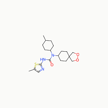 Cc1cnc(NC(=O)N(C2CCC(C)CC2)C2CCC3(CC2)COOC3)s1